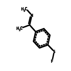 C/N=C(\C)c1ccc(SF)cc1